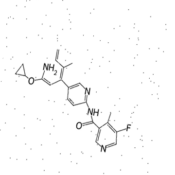 C=C/C(C)=C(\C=C(/N)OC1CC1)c1ccc(NC(=O)c2cncc(F)c2C)nc1